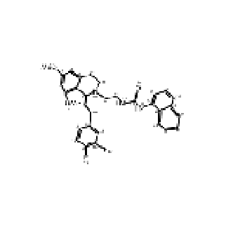 COc1cc2c(c(OC)c1)C(CCc1ccc(F)c(F)c1)N(CCNC(=O)Nc1ccnc3ccccc13)CC2